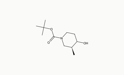 C[C@H]1CN(C(=O)OC(C)(C)C)CCC1O